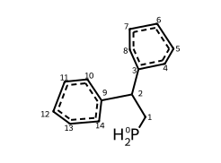 PCC(c1ccccc1)c1ccccc1